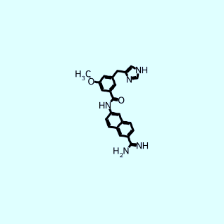 COc1cc(Cc2c[nH]cn2)cc(C(=O)Nc2ccc3cc(C(=N)N)ccc3c2)c1